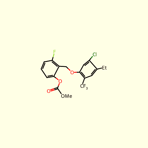 CCc1cc(C(F)(F)F)c(OCc2c(F)cccc2OC(=O)OC)cc1Cl